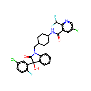 O=C(NC1CCC(CN2C(=O)C(O)(c3cc(Cl)ccc3F)c3ccccc32)CC1)c1cc(Cl)cnc1C(F)F